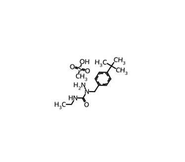 CCNC(=O)N(N)Cc1ccc(C(C)(C)C)cc1.CS(=O)(=O)O